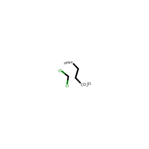 CCCCCCCCC(=O)OCC.ClCCl